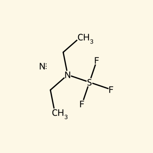 CCN(CC)S(F)(F)F.[N]